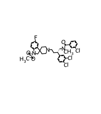 CN(C[C@@H](CCN1CCC2(CC1)CN(S(C)(=O)=O)c1ccc(F)cc12)c1ccc(Cl)c(Cl)c1)C(=O)c1cccc(Cl)c1